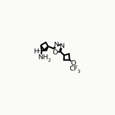 N[C@@H]1CC2(c3nnc(C4CC(OC(F)(F)F)C4)o3)CC1C2